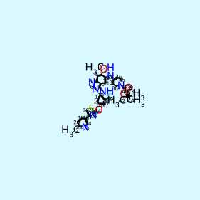 COc1cc2ncnc(Nc3ccc(Oc4nc(-c5ccc(C)nc5)cs4)cc3F)c2cc1NC1CCN(C(=O)OC(C)(C)C)CC1